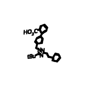 CC(C)(C)c1nc(CCc2ccccc2)nn1Cc1ccc(-c2ccccc2C(=O)O)cc1